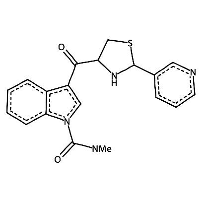 CNC(=O)n1cc(C(=O)C2CSC(c3cccnc3)N2)c2ccccc21